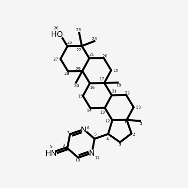 CC12CCC(C3N=CC(=N)C=N3)C1C1CCC3C(C)(CCC4C(C)(C)C(O)CCC43C)C1CC2